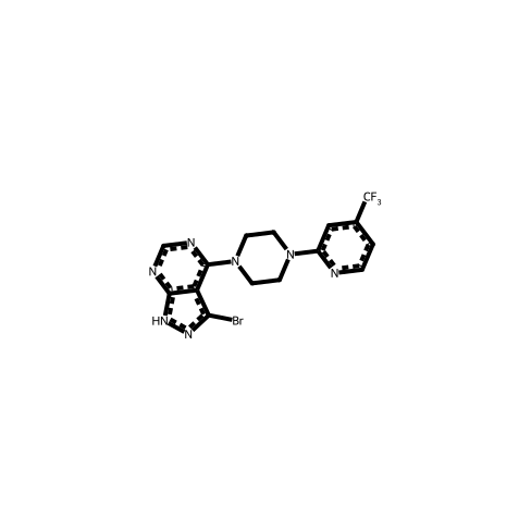 FC(F)(F)c1ccnc(N2CCN(c3ncnc4[nH]nc(Br)c34)CC2)c1